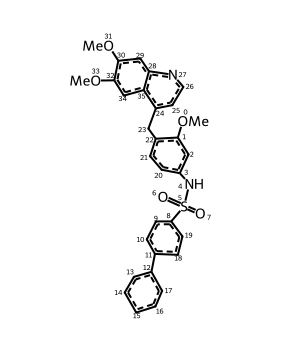 COc1cc(NS(=O)(=O)c2ccc(-c3ccccc3)cc2)ccc1Cc1ccnc2cc(OC)c(OC)cc12